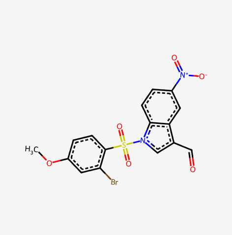 COc1ccc(S(=O)(=O)n2cc(C=O)c3cc([N+](=O)[O-])ccc32)c(Br)c1